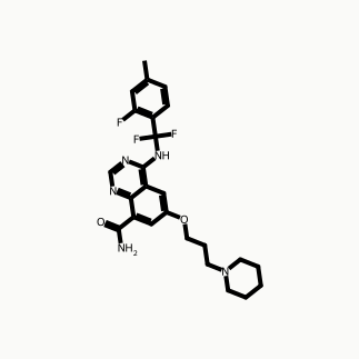 Cc1ccc(C(F)(F)Nc2ncnc3c(C(N)=O)cc(OCCCN4CCCCC4)cc23)c(F)c1